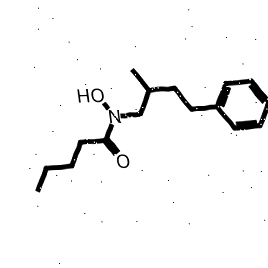 CCCCC(=O)N(O)CC(C)CCc1ccccc1